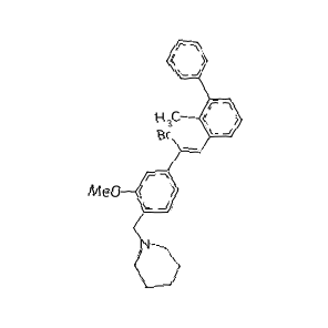 COc1cc(/C(Br)=C/c2cccc(-c3ccccc3)c2C)ccc1CN1CCCCC1